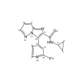 O=C(NC1CC1)c1nc2cccnn2c1-c1ccnc(F)c1